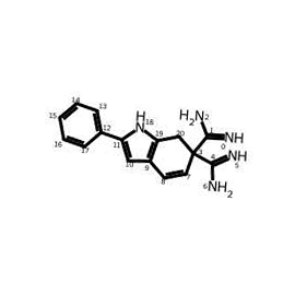 N=C(N)C1(C(=N)N)C=Cc2cc(-c3ccccc3)[nH]c2C1